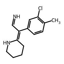 Cc1ccc(/C(C=N)=C2\CCCCN2)cc1Cl